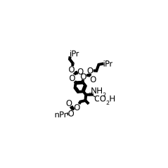 CCCOC(=O)OCC(C)C(c1ccc(OC(=O)OCCC(C)C)c(OC(=O)OCCC(C)C)c1)[C@H](N)C(=O)O